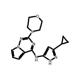 c1cc2c(Nc3cc(C4CC4)n[nH]3)nc(N3CCOCC3)nn2c1